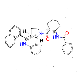 O=C(N[C@@H]1CCCC[C@@H]1C(=O)N1CC[C@@H]2[C@H](c3cccc4ccccc34)Nc3ccccc3[C@@H]21)c1ccccc1